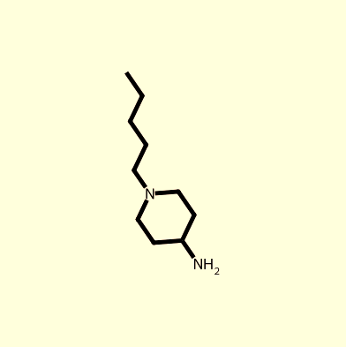 CCCCCN1CCC(N)CC1